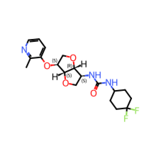 Cc1ncccc1O[C@H]1CO[C@H]2[C@@H]1OC[C@@H]2NC(=O)NC1CCC(F)(F)CC1